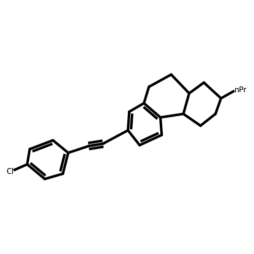 CCCC1CCC2c3ccc(C#Cc4ccc(Cl)cc4)cc3CCC2C1